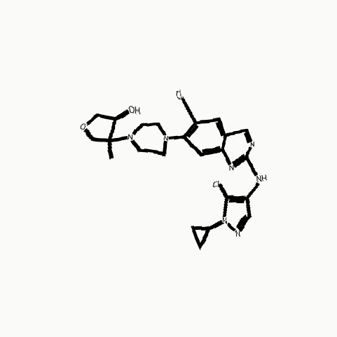 CC1(N2CCN(c3cc4nc(Nc5cnn(C6CC6)c5Cl)ncc4cc3Cl)CC2)COCC1O